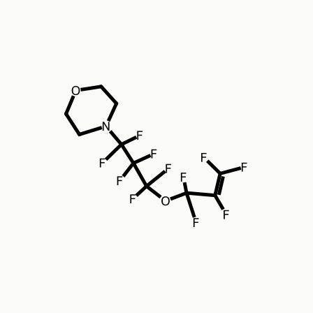 FC(F)=C(F)C(F)(F)OC(F)(F)C(F)(F)C(F)(F)N1CCOCC1